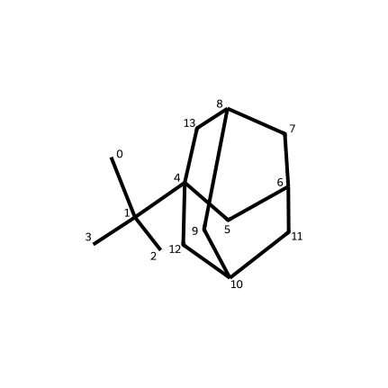 CC(C)(C)C12CC3CC(CC(C3)C1)C2